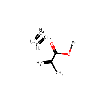 C=C.C=C.C=C(C)C(=O)OCC